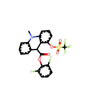 CN1c2ccccc2C(C(=O)Oc2c(F)cccc2F)c2c(OS(=O)(=O)C(F)(F)F)cccc21